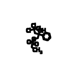 CCS(=O)(=O)OCC(O)(CC(Cl)(Cl)Cl)c1ccccc1